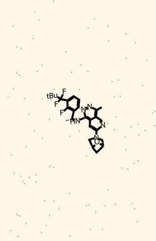 Cc1nnc(N[C@H](C)c2cccc(C(F)(F)C(C)(C)C)c2F)c2cc(N3CC4CC(C3)O4)ncc12